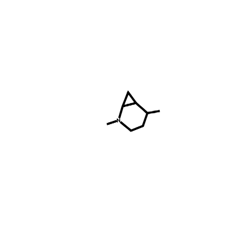 CC1CCN(C)C2CC12